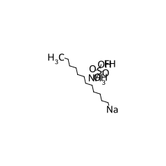 CCCCCCCCCCC[CH2][Na].F.N.O=S(=O)(O)O